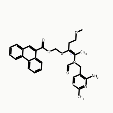 C/C(=C(\CCOI)SCOC(=O)c1cc2ccccc2c2ccccc12)N(C=O)Cc1cnc(C)nc1N